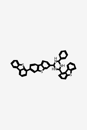 c1ccc(C2NC(c3ccc4c(c3)sc3cc(-c5cccc6c5sc5ccccc56)ccc34)NC(c3cccc4sc5ccccc5c34)N2)cc1